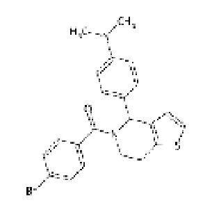 CN(C)c1ccc(C2c3ccsc3CCN2C(=O)c2ccc(Br)cc2)cc1